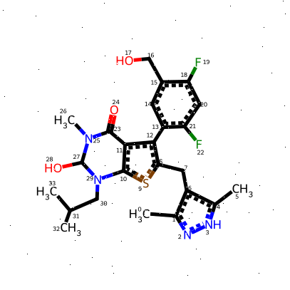 Cc1n[nH]c(C)c1Cc1sc2c(c1-c1cc(CO)c(F)cc1F)C(=O)N(C)C(O)N2CC(C)C